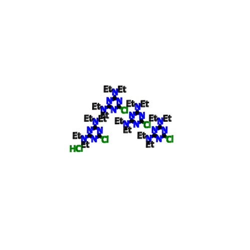 CCN(CC)c1nc(Cl)nc(N(CC)CC)n1.CCN(CC)c1nc(Cl)nc(N(CC)CC)n1.CCN(CC)c1nc(Cl)nc(N(CC)CC)n1.CCN(CC)c1nc(Cl)nc(N(CC)CC)n1.Cl